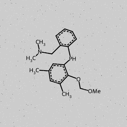 COCOc1c(C)cc(C)cc1Pc1ccccc1CN(C)C